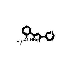 COc1ccccc1-c1cc(-c2cccnc2)n[nH]1